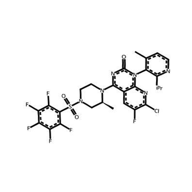 Cc1ccnc(C(C)C)c1-n1c(=O)nc(N2CCN(S(=O)(=O)c3c(F)c(F)c(F)c(F)c3F)C[C@@H]2C)c2cc(F)c(Cl)nc21